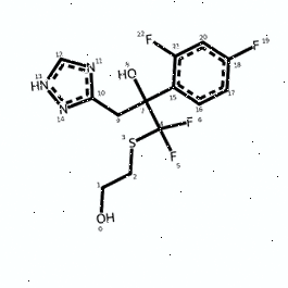 OCCSC(F)(F)C(O)(Cc1nc[nH]n1)c1ccc(F)cc1F